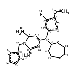 COc1ccc(N(C2=NC(N)N(Cc3ccco3)C(N)=N2)C2CCCCCC2)cc1F